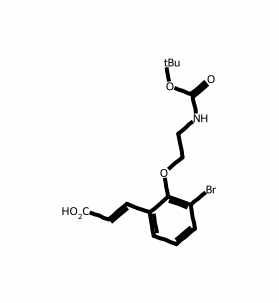 CC(C)(C)OC(=O)NCCOc1c(Br)cccc1C=CC(=O)O